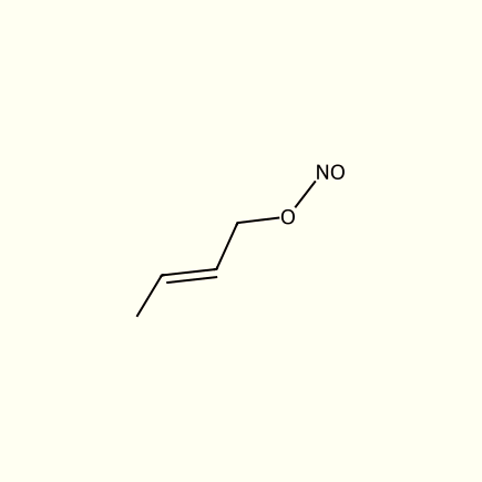 C/C=C/CON=O